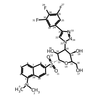 CN(C)c1cccc2cc(S(=O)(=O)[C@H]3OC(CO)[C@H](O)C(n4cc(-c5cc(F)c(F)c(F)c5)nn4)C3O)ccc12